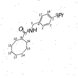 CC(C)c1ccc(CNC(=O)C2CCCCCCC2)cc1